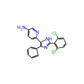 Nc1[c]nc(-c2[nH]c(-c3c(Cl)cccc3Cl)nc2-c2ccccc2)cc1